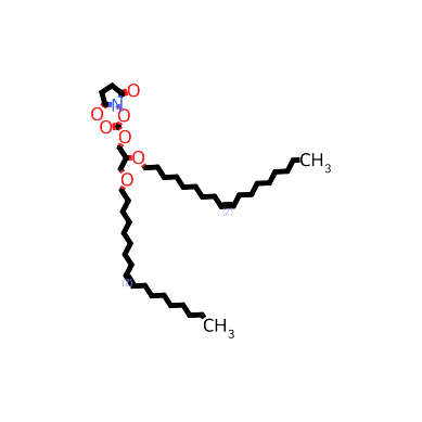 CCCCCCCC/C=C\CCCCCCCCOCC(COC(=O)ON1C(=O)CCC1=O)OCCCCCCCC/C=C\CCCCCCCC